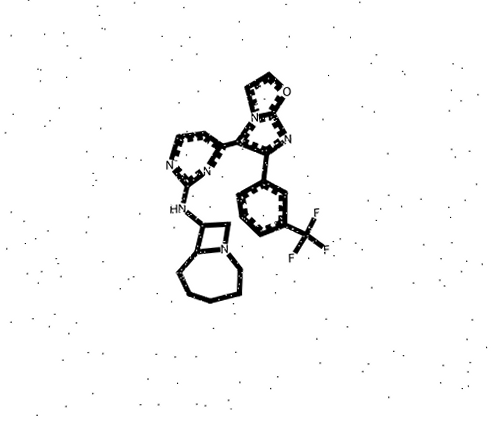 FC(F)(F)c1cccc(-c2nc3occn3c2-c2ccnc(NC3CN4CCCCCC34)n2)c1